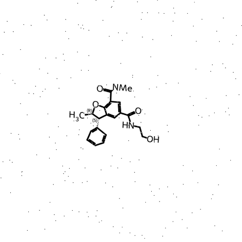 CNC(=O)c1cc(C(=O)NCCO)cc2c1O[C@H](C)[C@H]2c1ccccc1